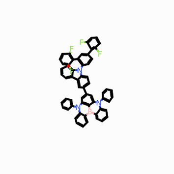 Fc1cccc(F)c1-c1ccc(-n2c3ccccc3c3cc(-c4cc5c6c(c4)N(c4ccccc4)c4ccccc4B6c4ccccc4N5c4ccccc4)ccc32)c(-c2c(F)cccc2F)c1